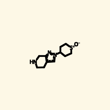 [O-][S+]1CCC(n2cc3c(n2)CNCC3)CC1